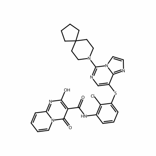 O=C(Nc1cccc(Sc2cnc(N3CCC4(CCCC4)CC3)n3ccnc23)c1Cl)c1c(O)nc2ccccn2c1=O